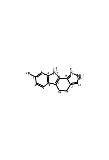 Fc1ccc2c3c([nH]c2c1)-c1n[nH]cc1CC3